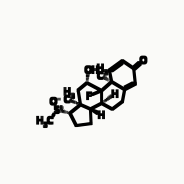 C[S+]([O-])[C@H]1CC[C@H]2[C@@H]3CCC4=CC(=O)C=C[C@]4(C)C3(F)[C@@H](O)C[C@]12C